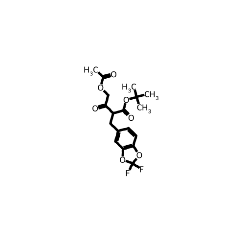 CC(=O)OCC(=O)C(Cc1ccc2c(c1)OC(F)(F)O2)C(=O)OC(C)(C)C